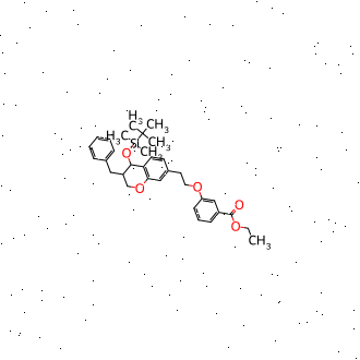 CCOC(=O)c1cccc(OCCc2ccc3c(c2)OCC(Cc2ccccc2)C3O[Si](C)(C)C(C)(C)C)c1